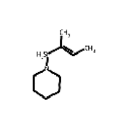 CC=C(C)[SiH2]N1CCCCC1